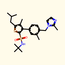 Cc1cc(-c2c(S(=O)(=O)NC(C)(C)C)sc(CC(C)C)c2C)ccc1Cn1ccnc1C